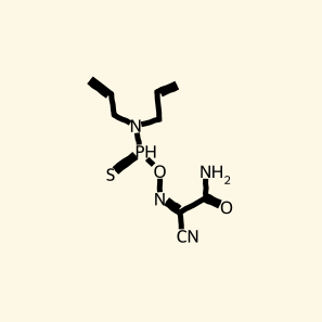 C=CCN(CC=C)[PH](=S)ON=C(C#N)C(N)=O